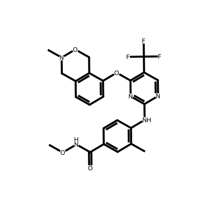 CONC(=O)c1ccc(Nc2ncc(C(F)(F)F)c(Oc3cccc4c3CON(C)C4)n2)c(C)c1